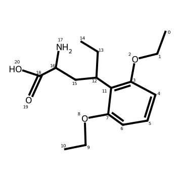 CCOc1cccc(OCC)c1C(CC)CC(N)C(=O)O